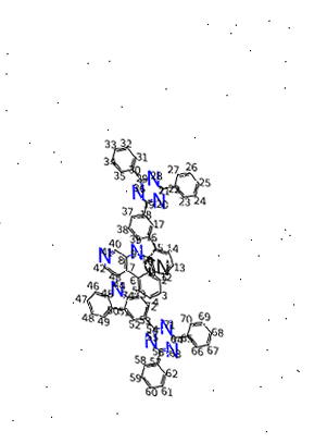 N#Cc1ccccc1-c1c(-n2c3ccccc3c3cc(-c4nc(-c5ccccc5)nc(-c5ccccc5)n4)ccc32)cncc1-n1c2ccccc2c2cc(-c3nc(-c4ccccc4)nc(-c4ccccc4)n3)ccc21